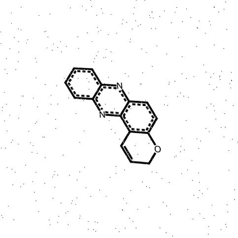 C1=Cc2c(ccc3nc4ccccc4nc23)OC1